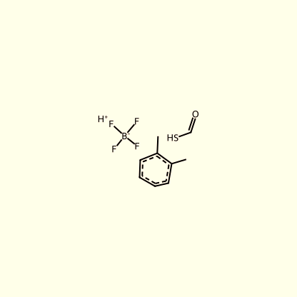 Cc1ccccc1C.F[B-](F)(F)F.O=CS.[H+]